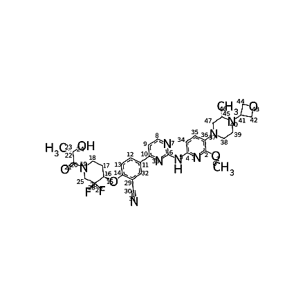 COc1nc(Nc2nccc(-c3ccc(O[C@@H]4CCN(C(=O)[C@H](C)O)CC4(F)F)c(C#N)c3)n2)ccc1N1CCN(C2COC2)[C@@H](C)C1